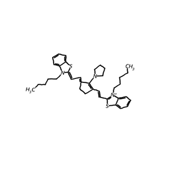 CCCCCN1/C(=C/C=C2\CCC(/C=C/c3sc4ccccc4[n+]3CCCCC)=C2N2CCCC2)Sc2ccccc21